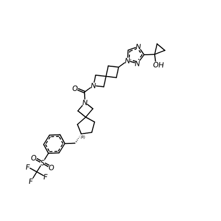 O=C(N1CC2(CC(n3cnc(C4(O)CC4)n3)C2)C1)N1CC2(CC[C@H](Cc3cccc(S(=O)(=O)C(F)(F)F)c3)C2)C1